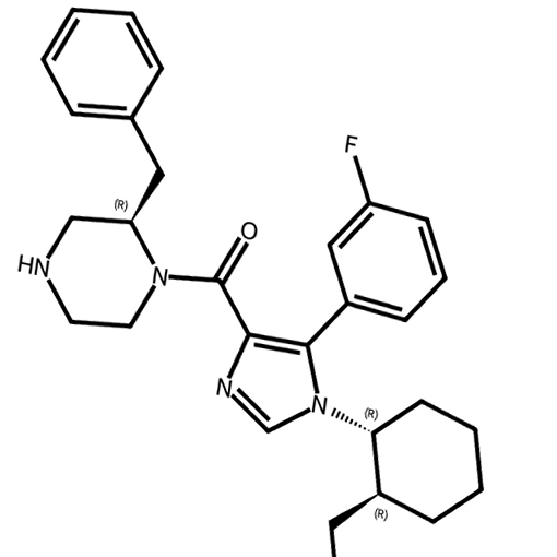 COC[C@@H]1CCCC[C@H]1n1cnc(C(=O)N2CCNC[C@H]2Cc2ccccc2)c1-c1cccc(F)c1